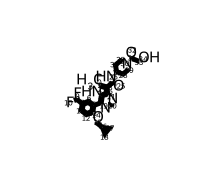 Cc1[nH]c2c(-c3cc(C(F)F)ccc3OCC3CC3)ncnc2c1C(=O)NC1CCN(C(=O)CO)CC1